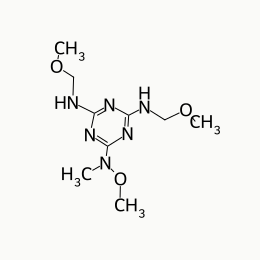 COCNc1nc(NCOC)nc(N(C)OC)n1